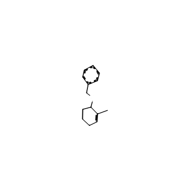 CC1=CCCCC1OCc1ccccc1